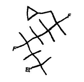 CCC(C)(C)C(C)(C)C(C)(F)C(C)(C)C(C)(C)C(C)(F)CC1CC1